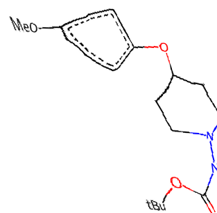 COc1ccc(OC2CCN(NC(=O)OC(C)(C)C)CC2)cc1